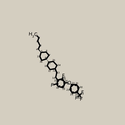 CCCCC[C@H]1CC[C@H](C2CCC(CCc3c(F)c[c]c(Oc4ccc(C(F)(F)F)cc4)c3F)CC2)CC1